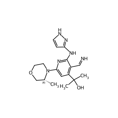 C[C@@H]1COCCN1c1cc(C(C)(C)O)c(C=N)c(Nc2cc[nH]n2)n1